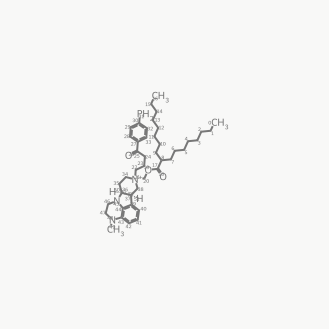 CCCCCCCCC(CCCCCCCC)C(=O)OC[N+]1(CCCC(=O)c2ccc(P)cc2)CC[C@H]2[C@@H](C1)c1cccc3c1N2CCN3C